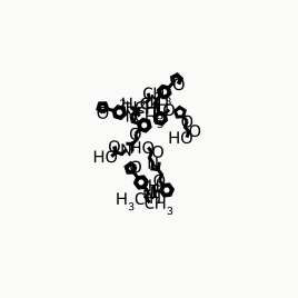 [2H]C(C)(C)N(Cc1ccccc1OCC1CN(CC(=O)O)C1)c1ccc(-c2ccco2)cc1.[2H]C([2H])(c1ccccc1OC1CCC(OCC(=O)O)C1)N(c1ccc(-c2ccco2)cc1)C(C)C.[2H]C([2H])(c1ccccc1OCC1CN(CC(=O)O)C1)N(c1ccc(-c2ccco2)cc1)C(C)C